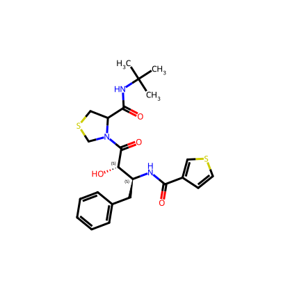 CC(C)(C)NC(=O)C1CSCN1C(=O)[C@@H](O)[C@H](Cc1ccccc1)NC(=O)c1ccsc1